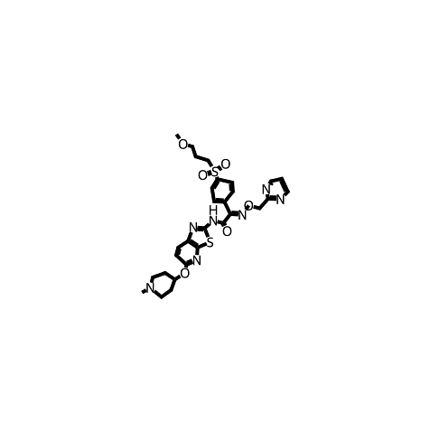 COCCCS(=O)(=O)c1ccc(/C(=N\OCc2ncccn2)C(=O)Nc2nc3ccc(OC4CCN(C)CC4)nc3s2)cc1